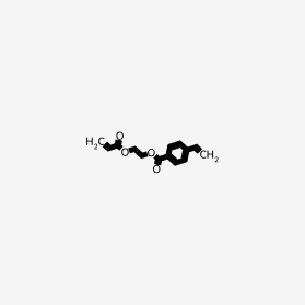 C=CC(=O)OCCOC(=O)c1ccc(C=C)cc1